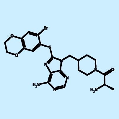 C[C@@H](N)C(=O)N1CCC(Cn2c(Sc3cc4c(cc3Br)OCCO4)nc3c(N)ncnc32)CC1